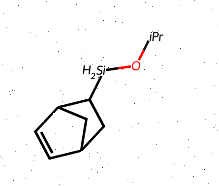 CC(C)O[SiH2]C1CC2C=CC1C2